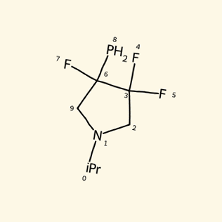 CC(C)N1CC(F)(F)C(F)(P)C1